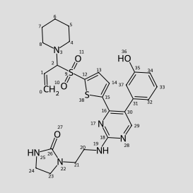 C=CC(N1CCCCC1)S(=O)(=O)c1ccc(-c2nc(NCCN3CCNC3=O)ncc2-c2cccc(O)c2)s1